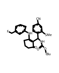 CSc1cc(C#N)ccc1C(NC(=O)OC(C)(C)C)C1=C(Nc2cccc(CF)c2)CCCC1=O